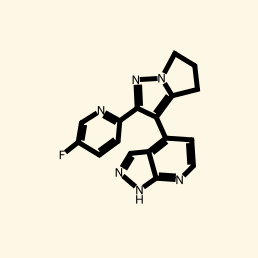 Fc1ccc(-c2nn3c(c2-c2ccnc4[nH]ncc24)CCC3)nc1